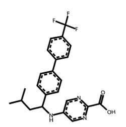 CC(C)CC(Nc1cnc(C(=O)O)nc1)c1ccc(-c2ccc(C(F)(F)F)cc2)cc1